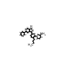 CCCCc1ccc(-c2n[nH]c3cnc(-c4cccnc4)cc23)nc1N1CCC[C@H](N)C1